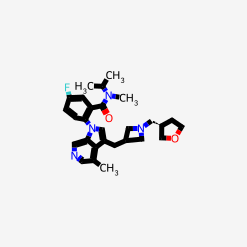 Cc1cncc2c1c(CC1CN(C[C@@H]3CCOC3)C1)cn2-c1ccc(F)cc1C(=O)N(C)C(C)C